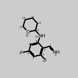 N=Cc1c(F)cc(F)cc1NC1CCCCO1